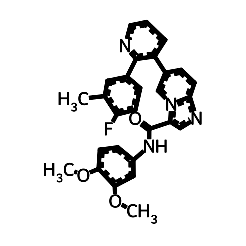 COc1ccc(NC(=O)c2cnc3ccc(-c4cccnc4-c4ccc(F)c(C)c4)cn23)cc1OC